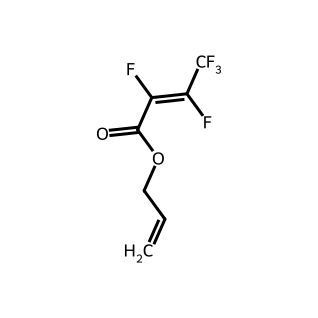 C=CCOC(=O)C(F)=C(F)C(F)(F)F